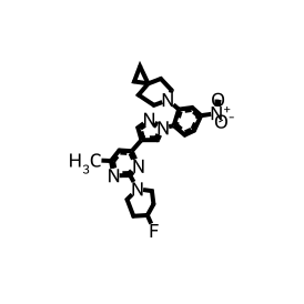 Cc1cc(-c2cnn(-c3ccc([N+](=O)[O-])cc3N3CCC4(CC3)CC4)c2)nc(N2CCC(F)CC2)n1